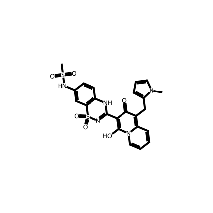 Cn1cccc1Cc1c(=O)c(C2=NS(=O)(=O)c3cc(NS(C)(=O)=O)ccc3N2)c(O)n2ccccc12